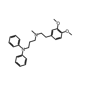 COc1ccc(CCN(C)CCCN(c2ccccc2)c2ccccc2)cc1OC